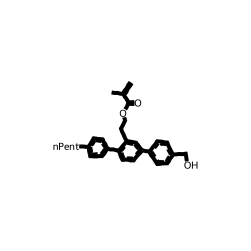 C=C(C)C(=O)OCCc1cc(-c2ccc(CO)cc2)ccc1-c1ccc(CCCCC)cc1